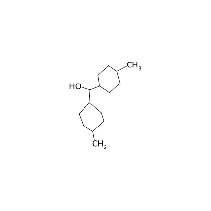 CC1CCC(C(O)C2CCC(C)CC2)CC1